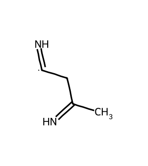 CC(=N)C[C]=N